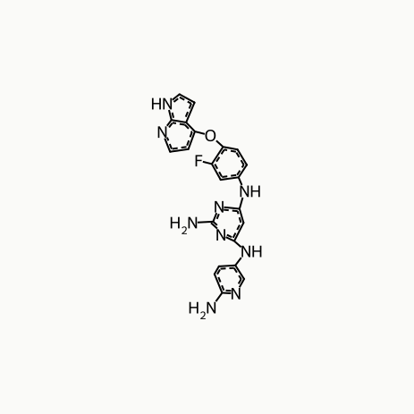 Nc1ccc(Nc2cc(Nc3ccc(Oc4ccnc5[nH]ccc45)c(F)c3)nc(N)n2)cn1